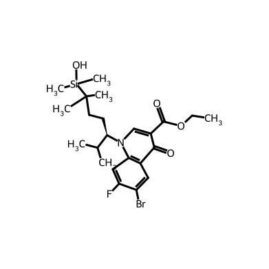 CCOC(=O)c1cn([C@H](CCC(C)(C)[Si](C)(C)O)C(C)C)c2cc(F)c(Br)cc2c1=O